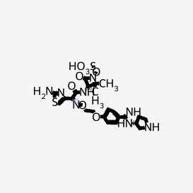 CC1(C)[C@H](NC(=O)/C(=N\OCCOc2ccc(C(=N)N[C@H]3CCNC3)cc2)c2csc(N)n2)C(=O)N1OS(=O)(=O)O